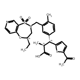 CC[C@@H]1CN(Cc2cc([C@H](c3ccc(C(C)=O)s3)[C@H](C)C(=O)O)ccc2C)S(=O)(=O)c2cnccc2O1